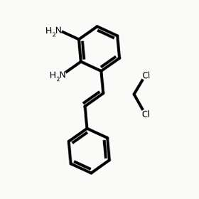 ClCCl.Nc1cccc(C=Cc2ccccc2)c1N